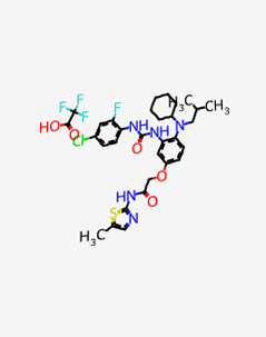 Cc1cnc(NC(=O)COc2ccc(N(CC(C)C)C3CCCCC3)c(NC(=O)Nc3ccc(Cl)cc3F)c2)s1.O=C(O)C(F)(F)F